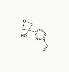 C=Cn1ccc(C2(O)COC2)n1